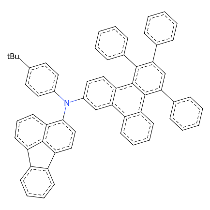 CC(C)(C)c1ccc(N(c2ccc3c(c2)c2ccccc2c2c(-c4ccccc4)cc(-c4ccccc4)c(-c4ccccc4)c32)c2ccc3c4c(cccc24)-c2ccccc2-3)cc1